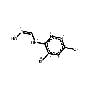 O/N=C\Nc1nnc(Cl)cc1Br